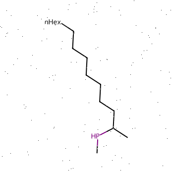 CCCCCCCCCCCCCC(C)PC